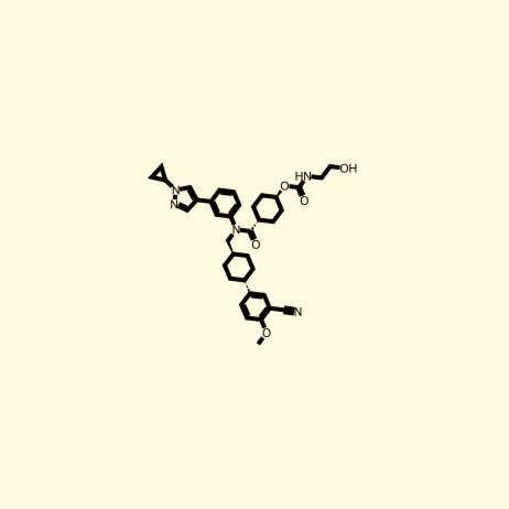 COc1ccc([C@H]2CC[C@H](CN(c3cccc(-c4cnn(C5CC5)c4)c3)C(=O)[C@H]3CC[C@H](OC(=O)NCCO)CC3)CC2)cc1C#N